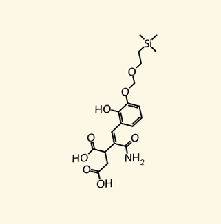 C[Si](C)(C)CCOCOc1cccc(C=C(C(N)=O)C(CC(=O)O)C(=O)O)c1O